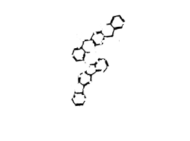 O=c1c2ccccc2oc2cc3c(=O)c4cccc(-n5c6ccccc6c6cc7c(cc65)sc5ccccc57)c4oc3cc12